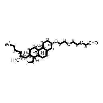 CC(C)CCC[C@@H](C)[C@H]1CC[C@H]2[C@@H]3CC=C4C[C@@H](OCCOCCOCC=O)CC[C@]4(C)[C@H]3CC[C@]12C